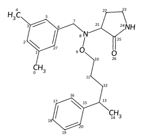 Cc1cc(C)cc(CN(OCCCC(C)c2ccccc2)C2CCNC2=O)c1